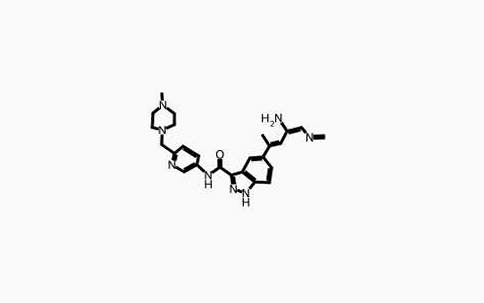 C=N/C=C(N)\C=C(/C)c1ccc2[nH]nc(C(=O)Nc3ccc(CN4CCN(C)CC4)nc3)c2c1